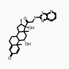 C[C@@H]1CC2C3CCC4=CC(=O)C=CC4(C)C3[C@@H](O)CC2(C)[C@@]1(O)C(=O)CSc1nc2cccnc2s1